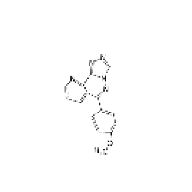 COc1ccc(-c2nn3cnnc3c3ncccc23)cc1